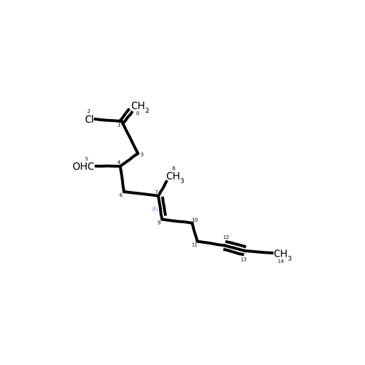 C=C(Cl)CC(C=O)C/C(C)=C/CCC#CC